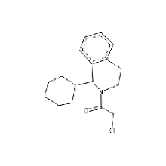 O=C(CCl)N1CCc2ccccc2C1C1CCCCC1